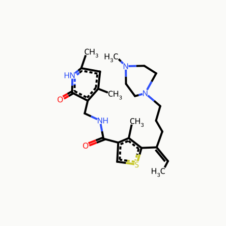 C/C=C(/CCCN1CCN(C)CC1)c1scc(C(=O)NCc2c(C)cc(C)[nH]c2=O)c1C